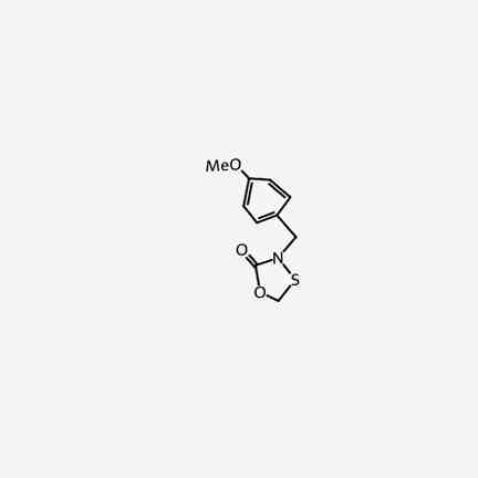 COc1ccc(CN2SCOC2=O)cc1